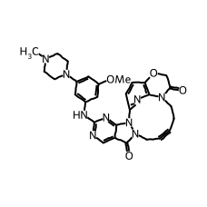 COc1cc(Nc2ncc3c(=O)n4n(c3n2)-c2ccc3c(n2)N(CCC#CC4)C(=O)CO3)cc(N2CCN(C)CC2)c1